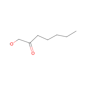 CCCCCC(=O)C[O]